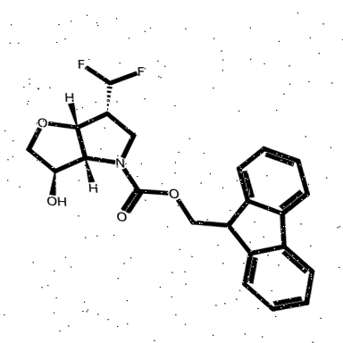 O=C(OCC1c2ccccc2-c2ccccc21)N1C[C@@H](C(F)F)[C@H]2OC[C@H](O)[C@H]21